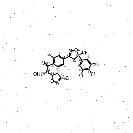 Cc1cc(C2=NO[C@@](c3cc(Cl)c(Cl)c(Cl)c3)(C(F)(F)F)C2)ccc1C(=O)N(C=O)C1CC(Cl)=NO1